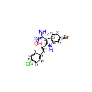 N/C(=N/O)c1c(/C=C/c2ccc(Cl)cc2)[nH]c2cc(Br)ccc12